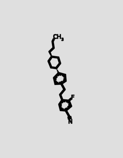 CCCC[C@H]1CC[C@H](c2ccc(CCc3ccc(C#N)cc3F)cc2)CC1